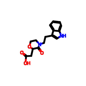 O=C(O)CC1OCCN(CCc2c[nH]c3ccccc23)C1=O